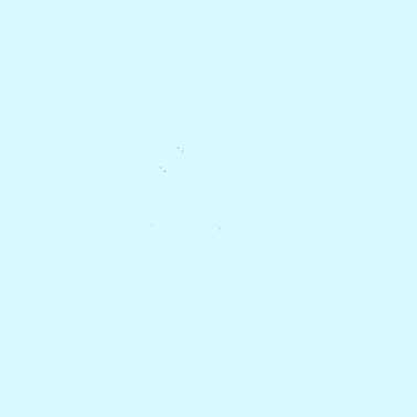 COC(=O)C1=NN(C)C(Cc2ccccc2)CC1C(=O)OC